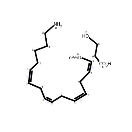 CCCCC/C=C\C/C=C\C/C=C\C/C=C\CCCCN.O=C(O)CCO